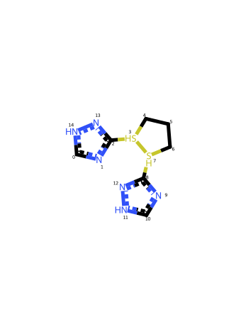 c1nc([SH]2CCC[SH]2c2nc[nH]n2)n[nH]1